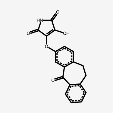 O=C1NC(=O)C(Oc2ccc3c(c2)C(=O)c2ccccc2CC3)=C1O